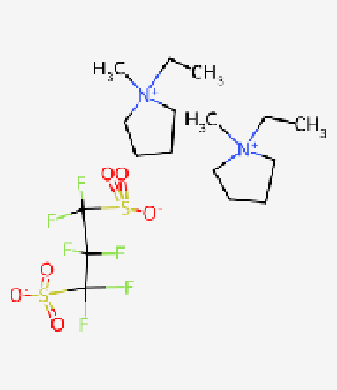 CC[N+]1(C)CCCC1.CC[N+]1(C)CCCC1.O=S(=O)([O-])C(F)(F)C(F)(F)C(F)(F)S(=O)(=O)[O-]